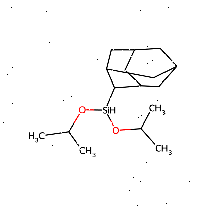 CC(C)O[SiH](OC(C)C)C1C2CC3CC(C2)CC1C3